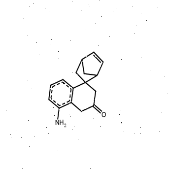 Nc1cccc2c1CC(=O)CC21CC2C=CC1C2